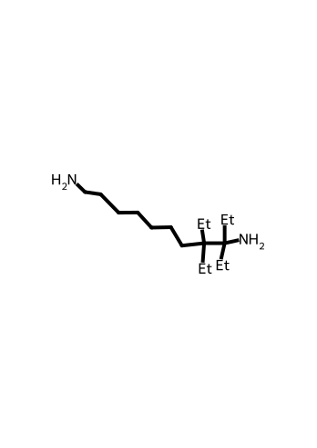 CCC(N)(CC)C(CC)(CC)CCCCCCCN